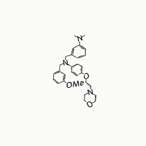 COc1cccc(CN(Cc2cccc(N(C)C)c2)c2ccc(OCCN3CCOCC3)cc2)c1